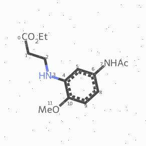 CCOC(=O)CCNc1cc(NC(C)=O)ccc1OC